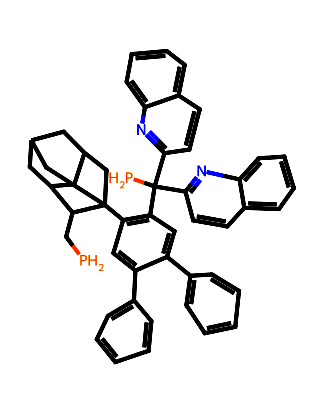 PCC1C2CC3CC(C2)CC1(c1cc(-c2ccccc2)c(-c2ccccc2)cc1C(P)(c1ccc2ccccc2n1)c1ccc2ccccc2n1)C3